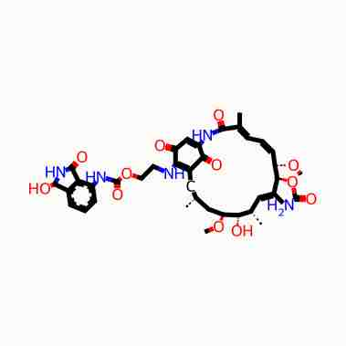 CO[C@H]1/C=C\C=C(/C)C(=O)NC2=CC(=O)C(NCCOC(=O)Nc3cccc4c3C(=O)NC4O)=C(C[C@@H](C)C[C@H](OC)[C@@H](O)[C@@H](C)/C=C(\C)[C@@H]1OC(N)=O)C2=O